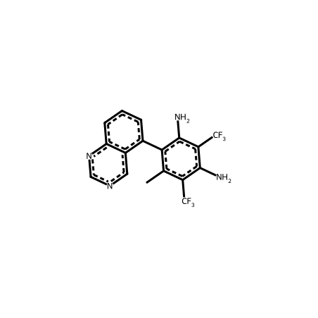 Cc1c(-c2cccc3ncncc23)c(N)c(C(F)(F)F)c(N)c1C(F)(F)F